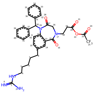 N=C(N)NCCCCCc1ccc2c(c1)C(=O)N(CCC(=O)OC(=O)C(F)(F)F)CC(=O)N2C(c1ccccc1)c1ccccc1